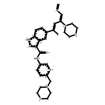 C=N/C=C(\C=C(/C)c1ccc2[nH]nc(C(=O)Nc3ccc(CN4CCOCC4)nc3)c2c1)N1CCOCC1